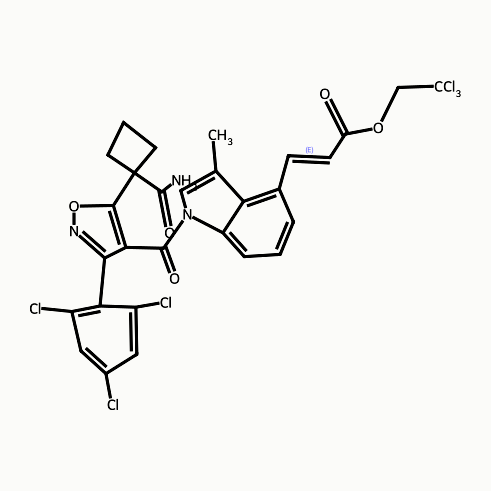 Cc1cn(C(=O)c2c(-c3c(Cl)cc(Cl)cc3Cl)noc2C2(C(N)=O)CCC2)c2cccc(/C=C/C(=O)OCC(Cl)(Cl)Cl)c12